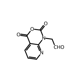 O=CCn1c(=O)oc(=O)c2cccnc21